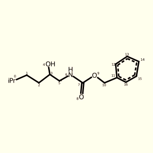 CC(C)CCC(O)[CH]NC(=O)OCc1ccccc1